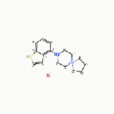 [Br-].c1cc(N2CC[N+]3(CCCC3)CC2)c2ccsc2c1